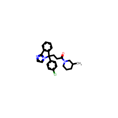 CC1CCCN(C(=O)CCC2(c3ccc(Cl)cc3)c3ccccc3-c3nccn32)C1